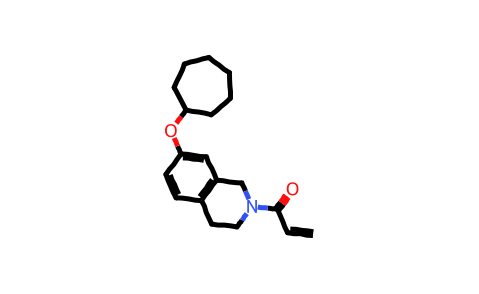 C=CC(=O)N1CCc2ccc(OC3CCCCCC3)cc2C1